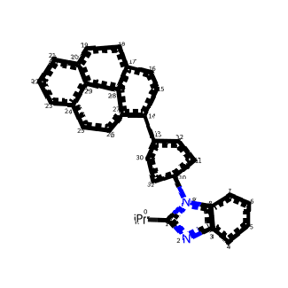 CC(C)c1nc2ccccc2n1-c1ccc(-c2ccc3ccc4cccc5ccc2c3c45)cc1